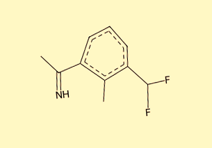 CC(=N)c1cccc(C(F)F)c1C